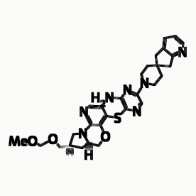 COCOC[C@H]1C[C@@H]2COc3c(Sc4ncc(N5CCC6(CC5)Cc5cccnc5C6)nc4N)ccnc3N2C1